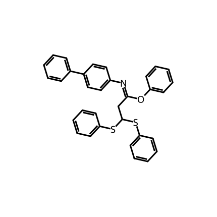 c1ccc(OC(CC(Sc2ccccc2)Sc2ccccc2)=Nc2ccc(-c3ccccc3)cc2)cc1